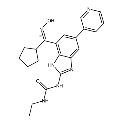 CCNC(=O)Nc1nc2cc(-c3cccnc3)cc(/C(=N\O)C3CCCC3)c2[nH]1